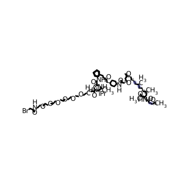 CC(/C=C/[C@@H]1C[C@]2(CO2)C[C@@H](CC(=O)N[C@H]2CC[C@H](CC(=O)CCc3ccccc3NC(=O)[C@H](C)NC(C)[C@@H](NC(=O)CCCCOCCOCCOCCOCCOCCOCCNC(=O)CBr)C(C)C)CC2)O1)=C\C[C@@H]1O[C@H](C)[C@H](NC(=O)/C=C\[C@H](C)O)C[C@@H]1C